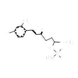 CC(C)(C)[Si](C)(C)OC(CCC(=O)C=Cc1ccc(Cl)cc1Cl)C(=O)O